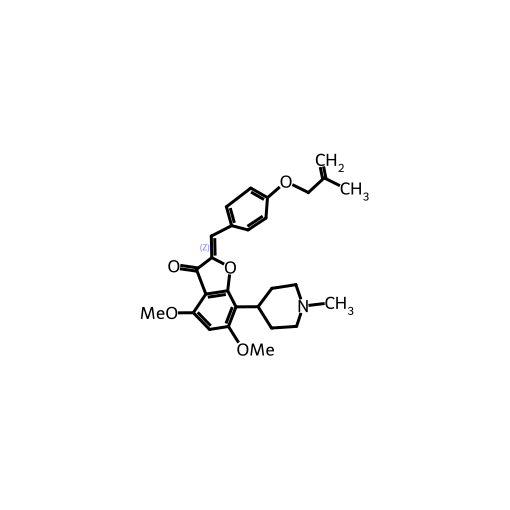 C=C(C)COc1ccc(/C=C2\Oc3c(c(OC)cc(OC)c3C3CCN(C)CC3)C2=O)cc1